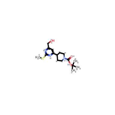 CSc1nc(CO)cc(C2CCN(C(=O)OC(C)(C)C)CC2)n1